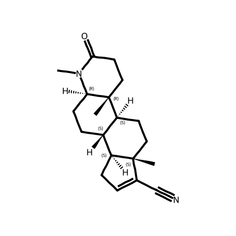 CN1C(=O)CC[C@]2(C)[C@H]3CC[C@]4(C)C(C#N)=CC[C@H]4[C@@H]3CC[C@@H]12